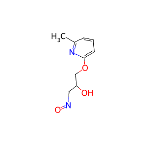 Cc1cccc(OCC(O)CN=O)n1